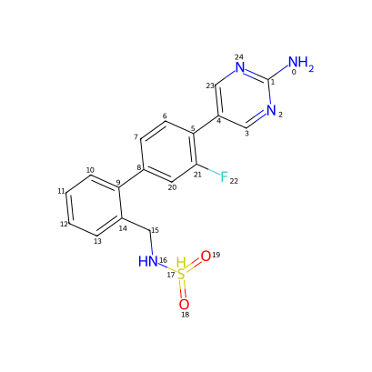 Nc1ncc(-c2ccc(-c3ccccc3CN[SH](=O)=O)cc2F)cn1